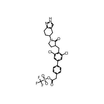 O=C(Cc1ccc(-c2cc(Cl)c(CC3CCN(C4CCc5n[nH]cc5C4)C3=O)c(Cl)c2)cc1)OS(=O)(=O)C(F)(F)F